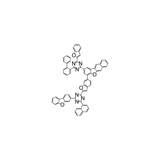 c1ccc(-c2ccccc2-c2nc(-c3cc(-c4ccc5cc(-c6nc(-c7ccc8c(c7)oc7ccccc78)nc(-c7cccc8ccccc78)n6)oc5c4)c4oc5cc6ccccc6cc5c4c3)nc(-c3cc4ccccc4o3)n2)cc1